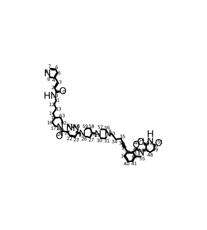 O=C(/C=C/c1cccnc1)NCCCCC1CCN(C(=O)c2ccc(N3CCC(N4CCN(CCCC#Cc5cccc6c5C(=O)N(C5CCC(=O)NC5=O)C6)CC4)CC3)nn2)CC1